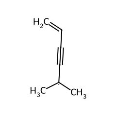 C=CC#C[C](C)C